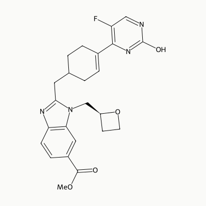 COC(=O)c1ccc2nc(CC3CC=C(c4nc(O)ncc4F)CC3)n(C[C@@H]3CCO3)c2c1